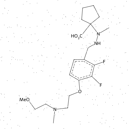 COCCN(C)CCOc1ccc(CNN(C)C2(C(=O)O)CCCC2)c(F)c1F